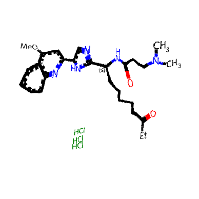 CCC(=O)CCCCC[C@H](NC(=O)CCN(C)C)c1ncc(-c2cc(OC)c3ccccc3n2)[nH]1.Cl.Cl.Cl